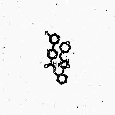 O=C(NCc1ccccc1-c1nc(CN2CCOCC2)no1)c1ccc(-c2cccc(F)c2)nc1